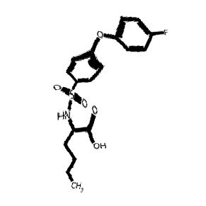 CCCCC(NS(=O)(=O)c1ccc(Oc2ccc(F)cc2)cc1)C(=O)O